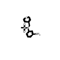 CS(=O)(=O)N(Cc1ccccc1)c1cccc(N)c1